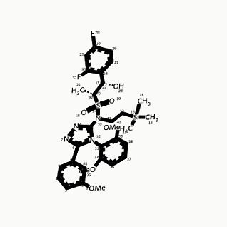 COc1cccc(-c2nnc(N(CC[Si](C)(C)C)S(=O)(=O)[C@H](C)[C@@H](O)c3ccc(F)cc3F)n2-c2c(OC)cccc2OC)c1